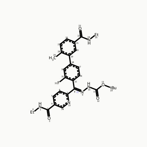 CCNC(=O)c1ccc(/C(=N/NC(=O)OC(C)(C)C)c2ccc(-c3cc(C(=O)NCC)ccc3C)cc2F)nc1